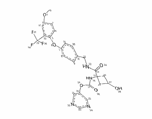 COc1ccc(Oc2ccc(CNC(=O)C3(NC(=O)Oc4cncnc4)CC(O)C3)cc2)c(C(F)(F)F)c1